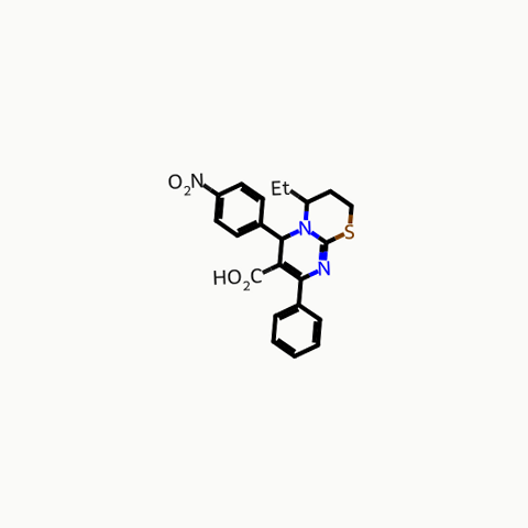 CCC1CCSC2=NC(c3ccccc3)=C(C(=O)O)C(c3ccc([N+](=O)[O-])cc3)N21